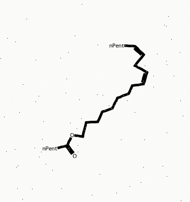 CCCCC/C=C\C/C=C\CCCCCCCCOC(=O)CCCCC